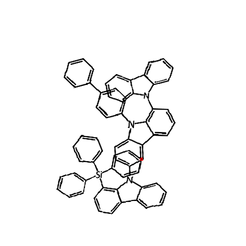 c1ccc(-c2ccc(-n3c4ccc(-n5c6ccccc6c6cccc([Si](c7ccccc7)(c7ccccc7)c7ccccc7)c65)cc4c4cccc(-n5c6ccccc6c6ccccc65)c43)cc2)cc1